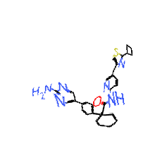 Nc1ncc(-c2ccc(C3(C(=O)Nc4ccc(-c5csc(C6CCC6)n5)cn4)CCCCC3)cc2)cn1